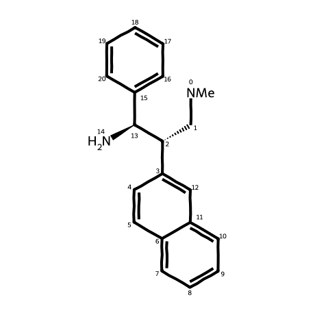 CNC[C@H](c1ccc2ccccc2c1)[C@@H](N)c1ccccc1